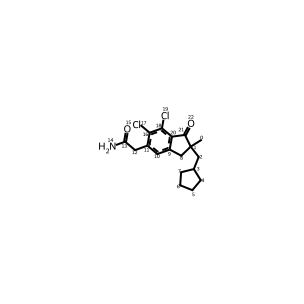 CC1(CC2CCCC2)Cc2cc(CC(N)=O)c(Cl)c(Cl)c2C1=O